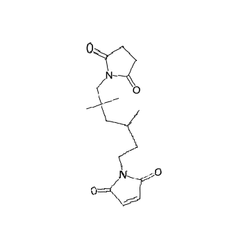 CC(CCN1C(=O)C=CC1=O)CC(C)(C)CN1C(=O)CCC1=O